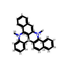 CN1c2cc3ccccc3c3c2B(c2ccccc2N3C)c2ccc3ccccc3c21